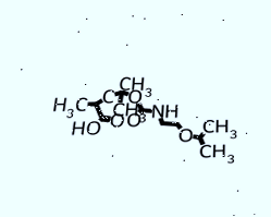 CC(C)OCCNC(=O)OC(C)(C)CC(C)C(=O)O